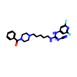 N#C/N=C(/NCCCCCN1CCN(C(=O)c2ccccc2)CC1)Nc1cc(F)nc(F)c1